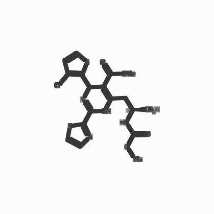 COC(=O)C1=C(C[C@H](NC(=O)OC(C)(C)C)C(=O)O)NC(c2nccs2)=NC1c1sccc1Cl